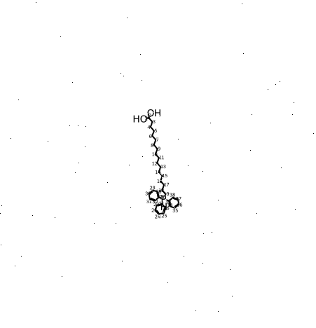 OC(O)CCCCCCCCCCCCCCCCC[PH](c1ccccc1)(c1ccccc1)c1ccccc1